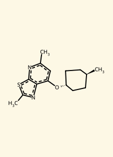 Cc1cc(O[C@H]2CC[C@H](C)CC2)c2nc(C)sc2n1